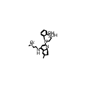 Cc1ccc2nc(N3CCS(O)(O)c4ccccc4C3)cc(NCC[S+](C)[O-])c2c1